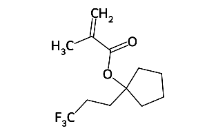 C=C(C)C(=O)OC1(CCC(F)(F)F)CCCC1